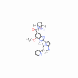 C=Nc1ccc(-c2nc3cc(C(=O)N4C[C@H]5CC[C@@H]4[C@@H]5N)cc(OC)c3n2C)n1CCc1ccccn1